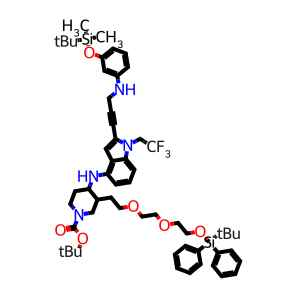 CC(C)(C)OC(=O)N1CCC(Nc2cccc3c2cc(C#CCNc2cccc(O[Si](C)(C)C(C)(C)C)c2)n3CC(F)(F)F)C(CCOCCOCCO[Si](c2ccccc2)(c2ccccc2)C(C)(C)C)C1